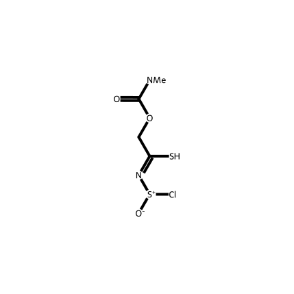 CNC(=O)OCC(S)=N[S+]([O-])Cl